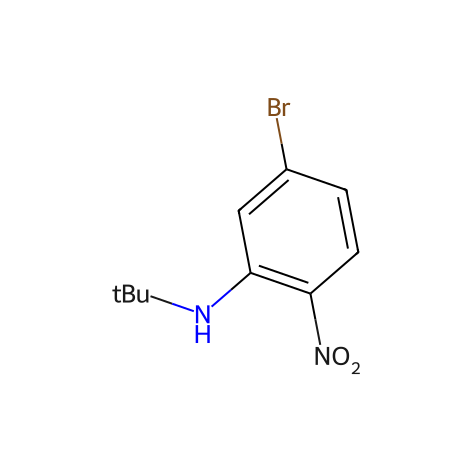 CC(C)(C)Nc1cc(Br)ccc1[N+](=O)[O-]